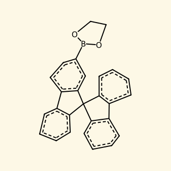 c1ccc2c(c1)-c1ccccc1C21c2ccccc2-c2ccc(B3OCCO3)cc21